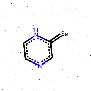 [Se]=c1cncc[nH]1